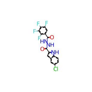 O=C(NNC(=O)c1cc(F)c(F)c(F)c1F)c1cc2cc(Cl)ccc2[nH]1